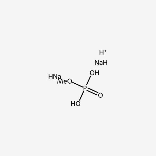 COP(=O)(O)O.[H+].[NaH].[NaH]